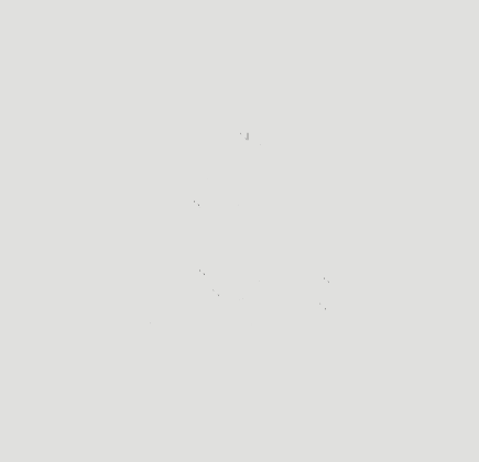 C=C(C#N)CN1Cc2c(-c3cc(C(=O)NCCOC)c4cnn(C)c4c3)ccc(N)c2C1=O